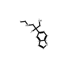 CCNCC(F)(CO)c1ccc2occc2c1